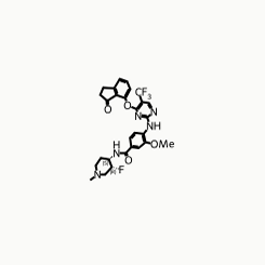 COc1cc(C(=O)N[C@H]2CCN(C)C[C@H]2F)ccc1Nc1ncc(C(F)(F)F)c(Oc2cccc3c2C(=O)CC3)n1